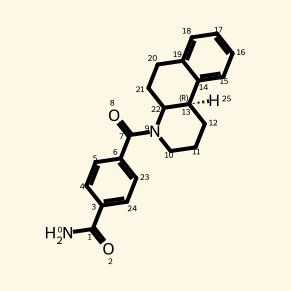 NC(=O)c1ccc(C(=O)N2CCC[C@@H]3c4ccccc4CCC32)cc1